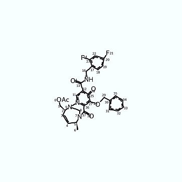 CC(=O)OC[C@@H]1C=C[C@H](C)N2CN1n1cc(C(=O)NCc3ccc(F)cc3F)c(=O)c(OCc3ccccc3)c1C2=O